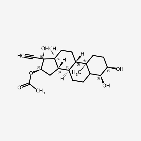 C#C[C@]1(O)[C@H](OC(C)=O)C[C@H]2[C@@H]3CCC4[C@H](O)[C@H](O)CC[C@]4(C)[C@H]3CC[C@@]21C